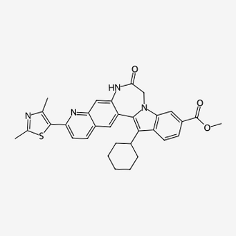 COC(=O)c1ccc2c(C3CCCCC3)c3n(c2c1)CC(=O)Nc1cc2nc(-c4sc(C)nc4C)ccc2cc1-3